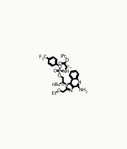 CCCC[C@@H](COP(=O)(N[C@@H](C)C(=O)OC(C)C)Oc1ccc(C(F)(F)F)cc1)n1c(COCC)nc2c(N)nc3ccccc3c21